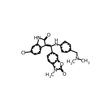 CN(C)Cc1ccc(N/C(=C2\C(=O)Nc3cc(Cl)ccc32)c2ccc3c(c2)oc(=O)n3C)cc1